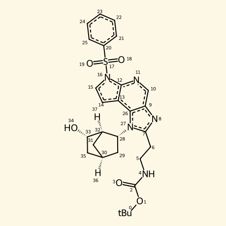 CC(C)(C)OC(=O)NCCc1nc2cnc3c(ccn3S(=O)(=O)c3ccccc3)c2n1[C@@H]1C[C@@H]2C[C@H]1[C@@H](O)C2